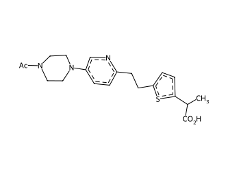 CC(=O)N1CCN(c2ccc(CCc3ccc(C(C)C(=O)O)s3)nc2)CC1